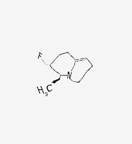 C[C@H]1[C@H](F)CC2=CCCN21